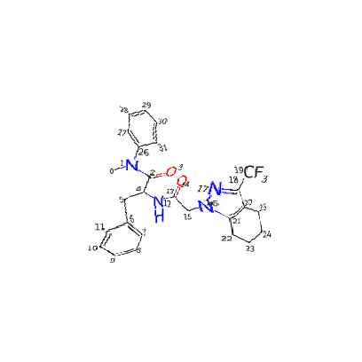 CN(C(=O)C(Cc1ccccc1)NC(=O)Cn1nc(C(F)(F)F)c2c1CCCC2)c1ccccc1